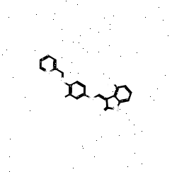 Cc1cccc2c1C(=CNc1ccc(NCc3ccccn3)c(F)c1)C(=O)N2